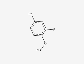 CCCOc1ccc(CC)cc1F